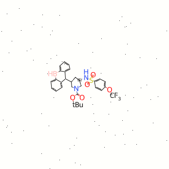 CC(C)(C)OC(=O)N1CC(C2c3ccccc3Bc3ccccc32)C[C@H](NS(=O)(=O)c2ccc(OC(F)(F)F)cc2)C1